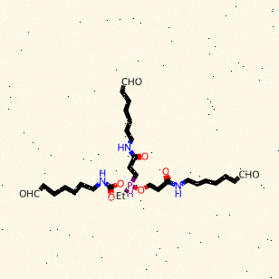 CC[PH](CCC(=O)NCCCCCCC=O)(OCCC(=O)NCCCCCCC=O)OC(=O)NCCCCCCC=O